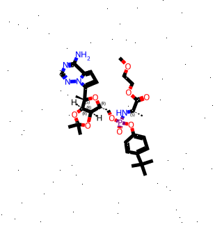 COCCOC(=O)[C@H](C)NP(=O)(OC[C@H]1O[C@@](C)(c2ccc3c(N)ncnn23)[C@@H]2OC(C)(C)O[C@@H]21)Oc1ccc(C(C)(C)C)cc1